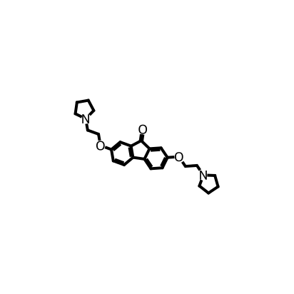 O=C1c2cc(OCCN3CCCC3)ccc2-c2ccc(OCCN3CCCC3)cc21